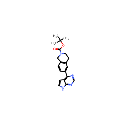 CC(C)(C)OC(=O)N1CCc2cc(-c3ncnc4[nH]ccc34)ccc2C1